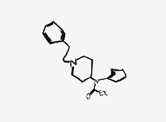 CCC(=O)N(C1=CCC=C1)C1CCN(CCc2ccccc2)CC1